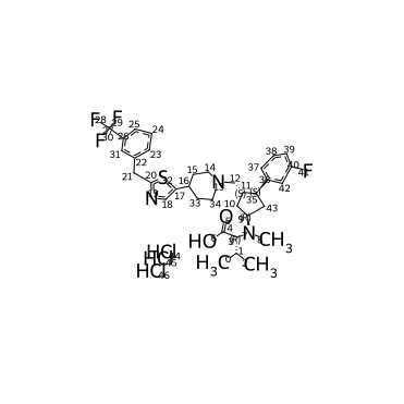 CC(C)[C@H](C(=O)O)N(C)[C@H]1C[C@H](CN2CCC(c3cnc(Cc4cccc(C(F)(F)F)c4)s3)CC2)[C@@H](c2cccc(F)c2)C1.Cl.Cl.Cl